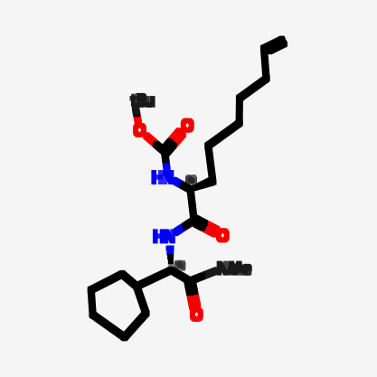 C=CCCCCC[C@H](NC(=O)OC(C)(C)C)C(=O)N[C@H](C(=O)NC)C1CCCCC1